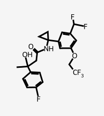 CC(O)(CC(=O)NC1(c2cc(OCC(F)(F)F)cc(C(F)F)c2)CC1)c1ccc(F)cc1